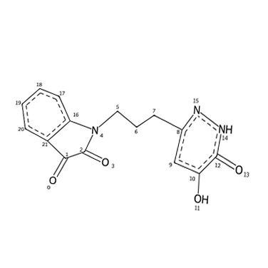 O=C1C(=O)N(CCCc2cc(O)c(=O)[nH]n2)c2ccccc21